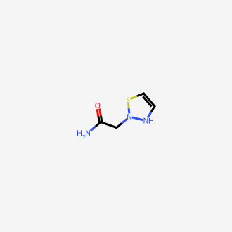 NC(=O)CN1NC=CS1